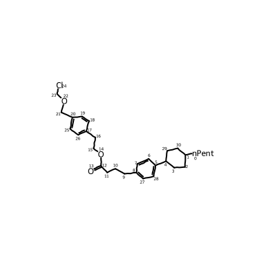 CCCCCC1CCC(c2ccc(CCCC(=O)OCCc3ccc(COCCl)cc3)cc2)CC1